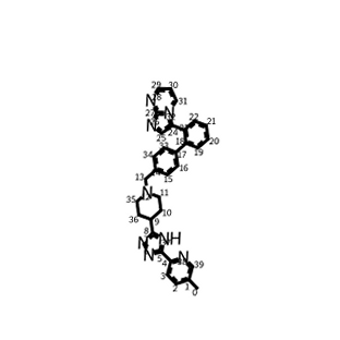 Cc1ccc(-c2nnc(C3CCN(Cc4ccc(-c5ccccc5-c5cnc6ncccn56)cc4)CC3)[nH]2)nc1